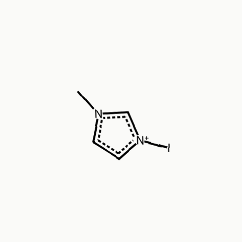 Cn1cc[n+](I)c1